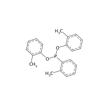 Cc1ccccc1OP(Oc1ccccc1C)c1ccccc1C